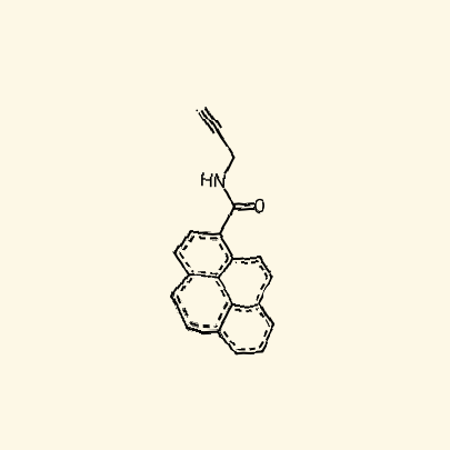 [C]#CCNC(=O)c1ccc2ccc3cccc4ccc1c2c34